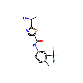 Cc1ccc(NC(=O)c2cnc(C(C)N)s2)cc1C(F)(F)F